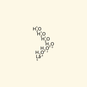 O.O.O.O.O.O.[La]